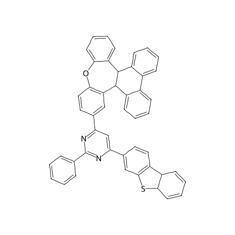 C1=CC2Sc3cc(-c4cc(-c5ccc6c(c5)C5c7ccccc7-c7ccccc7C5c5ccccc5O6)nc(-c5ccccc5)n4)ccc3C2C=C1